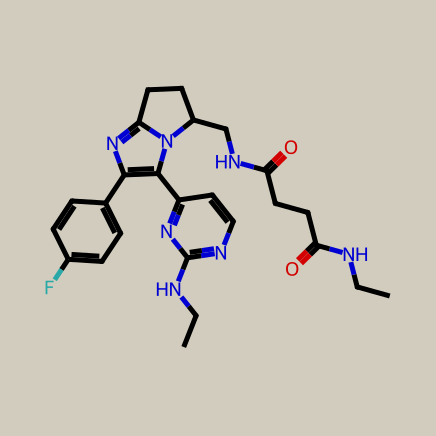 CCNC(=O)CCC(=O)NCC1CCc2nc(-c3ccc(F)cc3)c(-c3ccnc(NCC)n3)n21